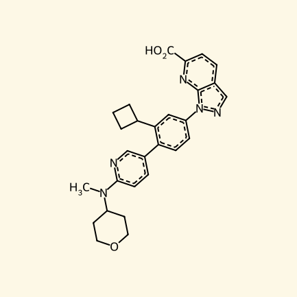 CN(c1ccc(-c2ccc(-n3ncc4ccc(C(=O)O)nc43)cc2C2CCC2)cn1)C1CCOCC1